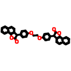 O=C1Oc2c(ccc3ccccc23)C1c1ccc(OCCOc2ccc(C3C(=O)Oc4c3ccc3ccccc43)cc2)cc1